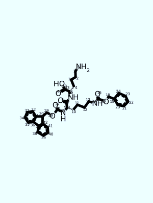 NCCCC[C@H](NC(=O)[C@H](CCCCNC(=O)OCc1ccccc1)NC(=O)OCC1c2ccccc2-c2ccccc21)C(=O)O